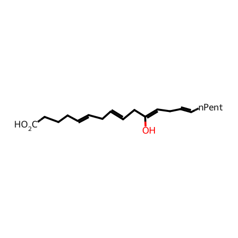 CCCCCC=CCC=C(O)CC=CCC=CCCCC(=O)O